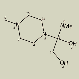 CNC(O)(CO)N1CCN(C)CC1